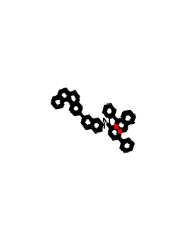 c1ccc(-c2ccc(N(c3ccc4ccc(-c5ccc6c(ccc7ccc8ccccc8c76)c5)cc4c3)c3ccccc3-c3cccc4ccccc34)cc2)cc1